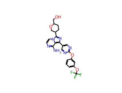 Nc1nccn2c(C3CCC(CO)OC3)nc(-c3cnc(Oc4cccc(OC(F)(F)F)c4)nc3)c12